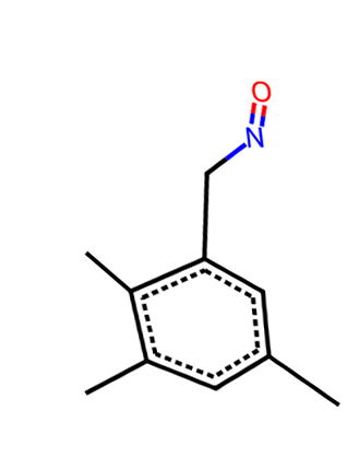 Cc1cc(C)c(C)c(CN=O)c1